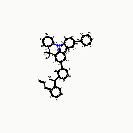 C=C/C=c1/cccc/c1=C(/C)c1cccc(-c2cc3c4c(c2)c2cc(-c5ccccc5)ccc2n4-c2ccccc2C3(C)C)c1